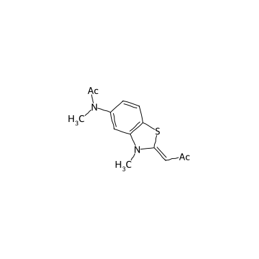 CC(=O)/C=C1\Sc2ccc(N(C)C(C)=O)cc2N1C